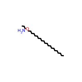 CCCCCCCCCCCCCCCCCCCCCCOC(N)CC